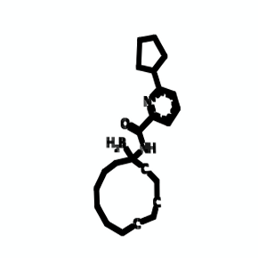 BC1(NC(=O)c2cccc(C3CCCC3)n2)CCCCCCCCCCC1